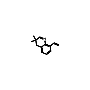 C=Cc1cccc2c1N=CC(C)(C)C2